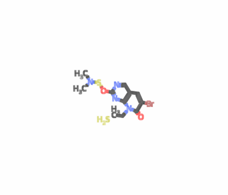 CCn1c(=O)c(Br)cc2cnc(OSN(C)C)nc21.S